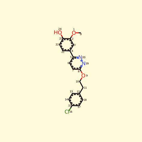 COc1cc(-c2ccc(OCCc3ccc(Cl)cc3)nn2)ccc1O